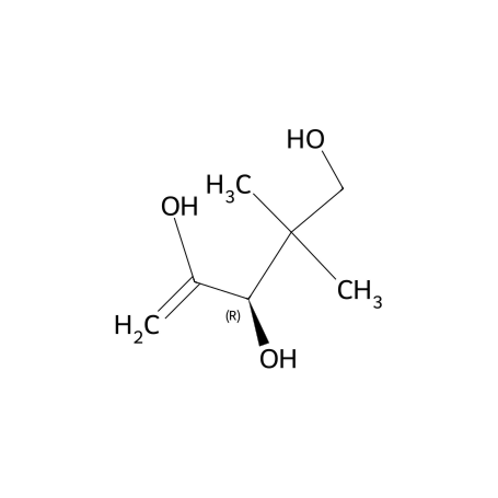 C=C(O)[C@H](O)C(C)(C)CO